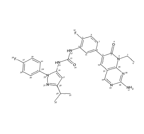 CCn1c(=O)c(-c2ccc(F)c(NC(=O)Nc3cc(C(C)C)nn3-c3ccc(F)cc3)c2)cc2cnc(N)nc21